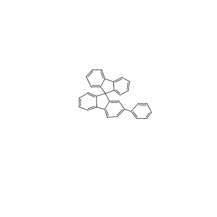 c1ccc(-c2ccc3c(c2)C2(c4ccccc4-c4ccccc42)c2ccccc2-3)cc1